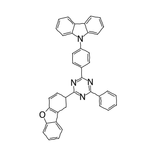 C1=CC(c2nc(-c3ccccc3)nc(-c3ccc(-n4c5ccccc5c5ccccc54)cc3)n2)Cc2c1oc1ccccc21